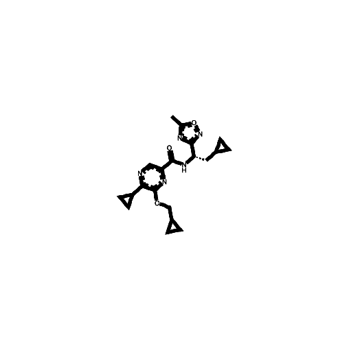 Cc1nc([C@H](CC2CC2)NC(=O)c2cnc(C3CC3)c(OCC3CC3)n2)no1